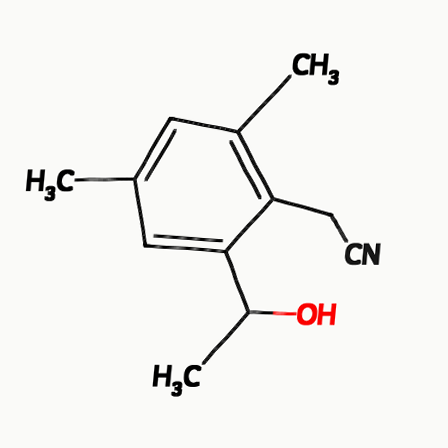 Cc1cc(C)c(CC#N)c(C(C)O)c1